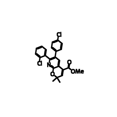 COC(=O)C1=CC(C)(C)Oc2nc(-c3ccccc3Cl)c(-c3ccc(Cl)cc3)cc21